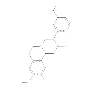 CCc1ccnc(C2CN3CCc4cc(OC)c(OC)cc4C3CC2N)c1